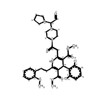 COC(=O)C1=C(CCc2ccccc2OC)NC(CC(=O)N2CCN(C(C=O)N3CCCC3)CC2)=C(C(=O)OC)C1c1c(Cl)cccc1Cl